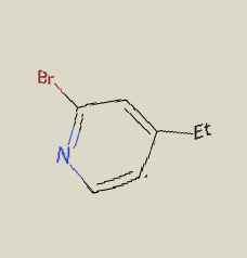 CCc1[c]cnc(Br)c1